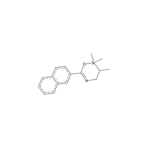 CC1CN=C(c2ccc3ccccc3c2)O[Si]1(C)C